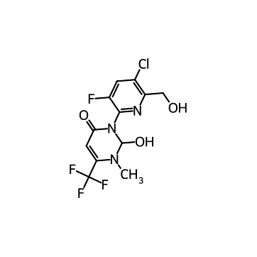 CN1C(C(F)(F)F)=CC(=O)N(c2nc(CO)c(Cl)cc2F)C1O